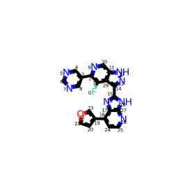 Fc1c(-c2cncnc2)ncc2[nH]nc(-c3nc4c(-c5ccoc5)ccnc4[nH]3)c12